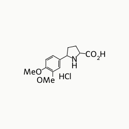 COc1ccc(C2CCC(C(=O)O)N2)cc1OC.Cl